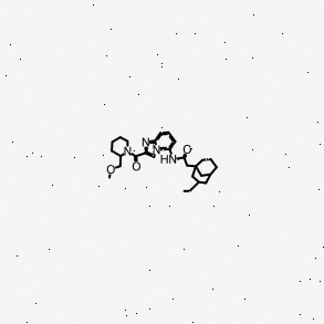 CCC1CC2CCCC(CC(=O)Nc3cccc4nc(C(=O)N5CCCCC5COC)cn34)(C1)C2